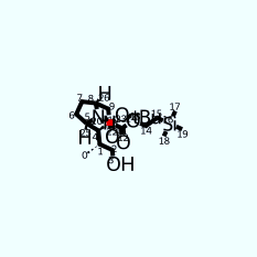 C[C@@H](CO)[C@H]1[C@@H]2CC[C@H](CN1C(=O)OCC[Si](C)(C)C)N2C(=O)OC(C)(C)C